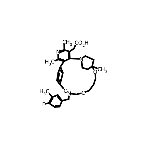 Cc1cc(CN2CCCCCOC3(C)CCN(CC3)c3c(CC(=O)O)c(C)nc(C)c3-c3ccc(cc3)C2)ccc1F